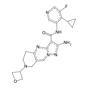 Nc1nn2cc3c(nc2c1C(=O)Nc1cncc(F)c1C1CC1)CCN(C1COC1)C3